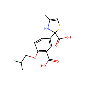 CC1=CSC(C(=O)O)(c2ccc(OCC(C)C)c(C(=O)O)c2)N1